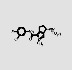 Cn1cc2c(c1C(=O)Nc1ccc(F)c(Cl)c1)CC[C@H]2NC(=O)O